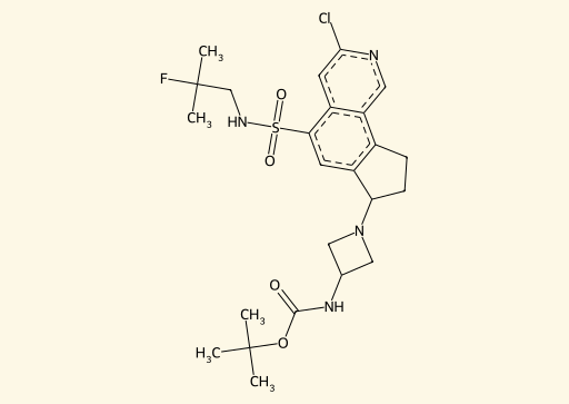 CC(C)(F)CNS(=O)(=O)c1cc2c(c3cnc(Cl)cc13)CCC2N1CC(NC(=O)OC(C)(C)C)C1